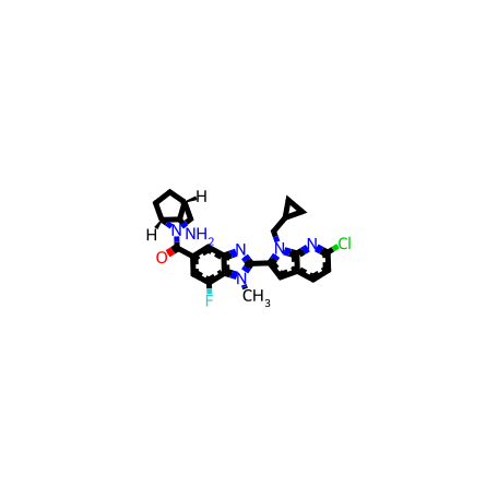 Cn1c(-c2cc3ccc(Cl)nc3n2CC2CC2)nc2cc(C(=O)N3C[C@H]4CC[C@@H]3C4N)cc(F)c21